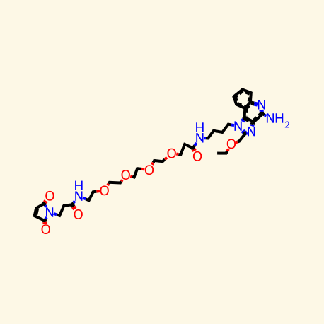 CCOCc1nc2c(N)nc3ccccc3c2n1CCCCNC(=O)CCOCCOCCOCCOCCNC(=O)CCN1C(=O)C=CC1=O